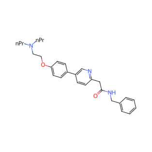 CCCN(CCC)CCOc1ccc(-c2ccc(CC(=O)NCc3ccccc3)nc2)cc1